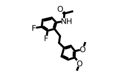 COc1ccc(CCc2c(NC(C)=O)ccc(F)c2F)cc1OC